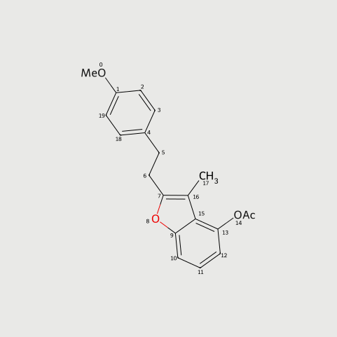 COc1ccc(CCc2oc3cccc(OC(C)=O)c3c2C)cc1